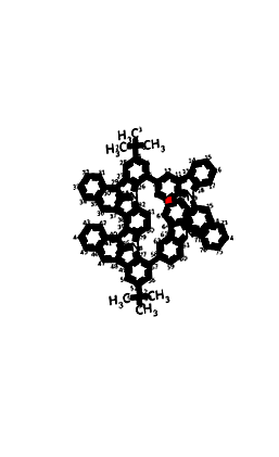 CC(C)(C)c1cc(-c2ccc3c(c2)c2ccccc2n3-c2ccccc2)c2c(c1)c1c3ccccc3cc3c4c5c6c7ccccc7cc7c8cc(C(C)(C)C)cc(-c9ccc%10c(c9)c9ccccc9n%10-c9ccccc9)c8n(c5ccc4n2c31)c76